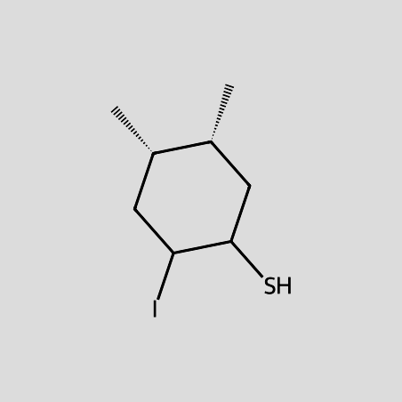 C[C@@H]1CC(S)C(I)C[C@@H]1C